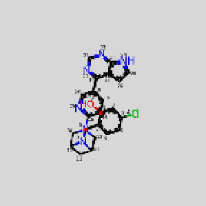 Oc1cc(Cl)ccc1CN1C2CC1CN(c1ccc(-c3ncnc4[nH]ccc34)cn1)C2